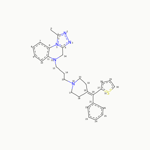 Cc1nnc2n1-c1ccccc1N(CCCN1CCC(=C(c3ccccc3)c3cccs3)CC1)C2